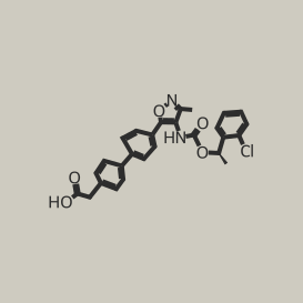 Cc1noc(-c2ccc(-c3ccc(CC(=O)O)cc3)cc2)c1NC(=O)O[C@H](C)c1ccccc1Cl